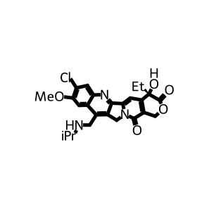 CC[C@@]1(O)C(=O)OCc2c1cc1n(c2=O)Cc2c-1nc1cc(Cl)c(OC)cc1c2CNC(C)C